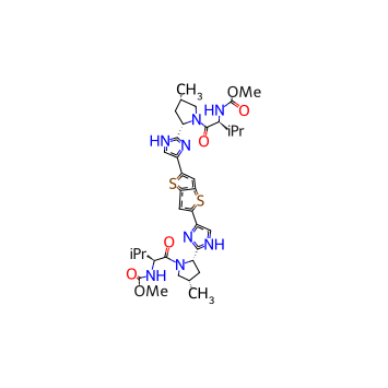 COC(=O)N[C@H](C(=O)N1C[C@@H](C)C[C@H]1c1nc(-c2cc3sc(-c4c[nH]c([C@@H]5C[C@H](C)CN5C(=O)[C@@H](NC(=O)OC)C(C)C)n4)cc3s2)c[nH]1)C(C)C